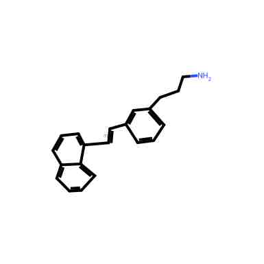 NCCCc1cccc(/C=C/c2cccc3ccccc23)c1